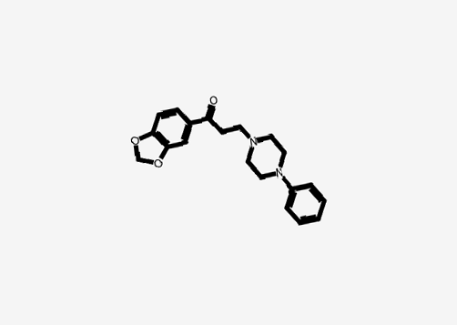 O=C(CCN1CCN(c2ccccc2)CC1)c1ccc2c(c1)OCO2